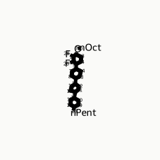 CCCCCCCCOc1ccc(-c2ccc(-c3ccc(-c4ccc(CCCCC)cc4)cc3)cc2)c(F)c1F